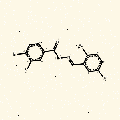 O=C(N/N=C/c1cc(Br)ccc1O)c1ccc(Br)c(Br)c1